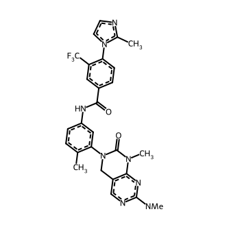 CNc1ncc2c(n1)N(C)C(=O)N(c1cc(NC(=O)c3ccc(-n4ccnc4C)c(C(F)(F)F)c3)ccc1C)C2